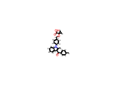 Cc1ccc(C(=O)c2c(C)n(-c3ccc(COC4(C(=O)O)CC4)cc3)c3ccccc23)cc1